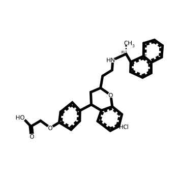 C[C@@H](NCCC1CC(c2ccc(OCC(=O)O)cc2)c2ccccc2O1)c1cccc2ccccc12.Cl